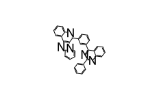 c1ccc(-c2nc(-c3cccc(-c4nc5ccccc5c5nc6ccccn6c45)c3)c3ccccc3n2)cc1